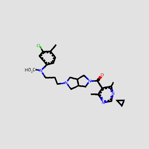 C1CC1.Cc1ccc(N(CCCN2CC3CN(C(=O)c4c(C)ncnc4C)CC3C2)C(=O)O)cc1Cl